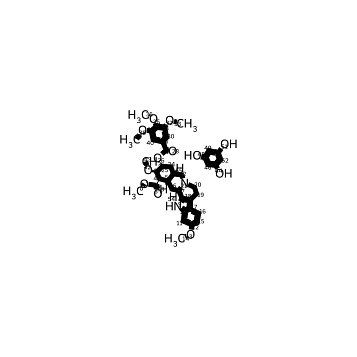 COC(=O)[C@H]1[C@H]2C[C@@H]3c4[nH]c5cc(OC)ccc5c4CCN3C[C@H]2C[C@@H](OC(=O)c2cc(OC)c(OC)c(OC)c2)[C@@H]1OC.Oc1cc(O)cc(O)c1